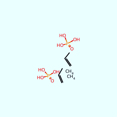 C.C.C=CC.C=CC.O=P(O)(O)O.O=P(O)(O)O